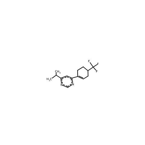 CC(C)c1cc(C2=CCC(C(F)(F)F)CC2)ncn1